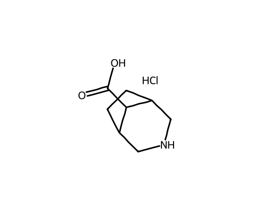 Cl.O=C(O)C1C2CCC1CNC2